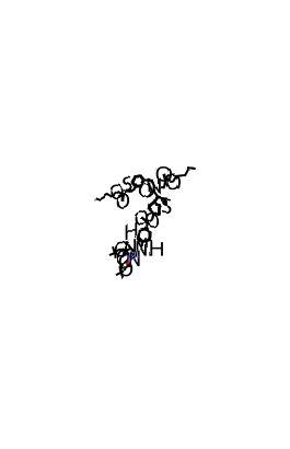 CCCCOC(=O)CN(Cc1ccc2sc(C(=O)OCCCC)cc2c1)C(=O)c1csc2cc(OC(=O)c3ccc(N/C(=N/C(=O)OC(C)(C)C)NC(=O)OC(C)(C)C)cc3)ccc12